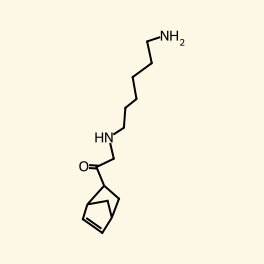 NCCCCCCNCC(=O)C1CC2C=CC1C2